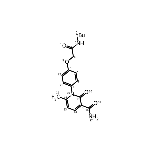 CCCCNC(=O)COc1ccc(-n2c(C(F)(F)F)ccc(C(N)=O)c2=O)cc1